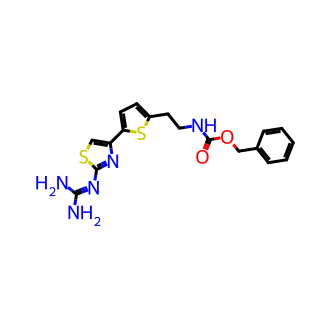 NC(N)=Nc1nc(-c2ccc(CCNC(=O)OCc3ccccc3)s2)cs1